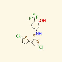 OC1CC(NSC2SC(Cl)CC2C2CCC(Cl)S2)CCC1C(F)(F)F